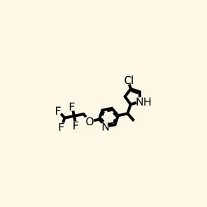 CC(c1ccc(OCC(F)(F)C(F)F)nc1)C1CC(Cl)=CN1